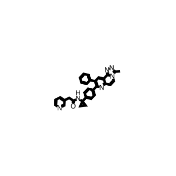 Cc1nnc2c3cc(-c4ccccc4)c(-c4ccc(C5(NC(=O)Cc6cccnc6)CC5)cc4)nc3ccn12